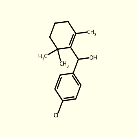 CC1=C(C(O)c2ccc(Cl)cc2)C(C)(C)CCC1